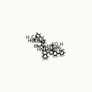 CC(C)(O)c1cccc(CN2CCN([C@H](C(=O)N[C@@H](Cc3ccccc3)[C@@H](O)C[C@@H](Cc3ccc(-c4ccccn4)cc3)NC(=O)[C@@H](NC(=O)O)C(C)(C)C)C(C)(C)C)C2=O)n1